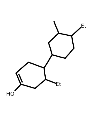 CCC1CCC(C2CC=C(O)CC2CC)CC1C